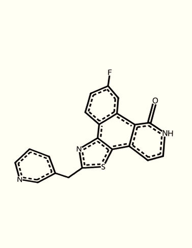 O=c1[nH]ccc2c3sc(Cc4cccnc4)nc3c3ccc(F)cc3c12